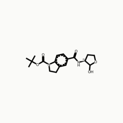 CC(C)(C)OC(=O)N1CCc2cc(C(=O)N[C@H]3CCOC3O)ccc21